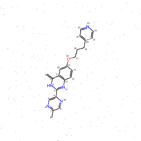 C=C1NC(c2cnc(C)cn2)=Nc2ccc(OCCCc3ccncc3)cc21